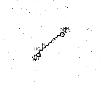 CC1(C)OCc2cc([C@@H](O)CNCCCCCCOCCCc3cccc(S(N)(=O)=O)c3)ccc2O1